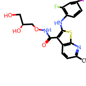 Cc1ccc2c(C(=O)NOC[C@@H](O)CO)c(Nc3ccc(I)cc3F)sc2n1